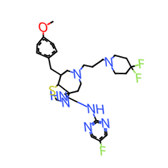 COc1ccc(CC2CN(CCCN3CCC(F)(F)CC3)CCC34C=C(Nc5ncc(F)cn5)NN3CSC24)cc1